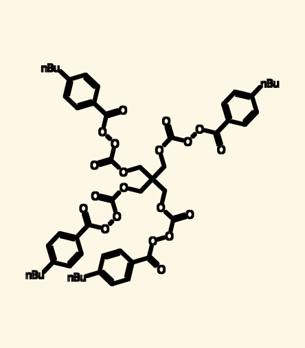 CCCCc1ccc(C(=O)OOC(=O)OCC(COC(=O)OOC(=O)c2ccc(CCCC)cc2)(COC(=O)OOC(=O)c2ccc(CCCC)cc2)COC(=O)OOC(=O)c2ccc(CCCC)cc2)cc1